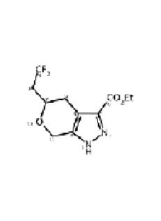 CCOC(=O)c1n[nH]c2c1CC(CC(F)(F)F)OC2